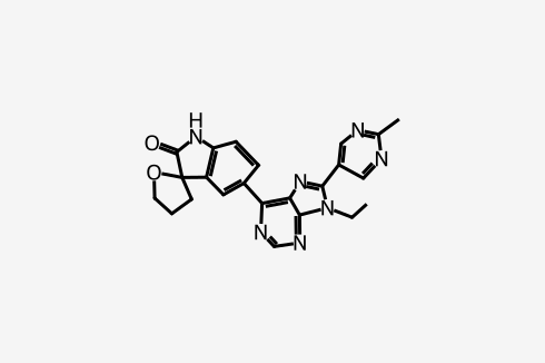 CCn1c(-c2cnc(C)nc2)nc2c(-c3ccc4c(c3)C3(CCCO3)C(=O)N4)ncnc21